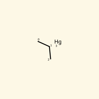 CCC.[Hg]